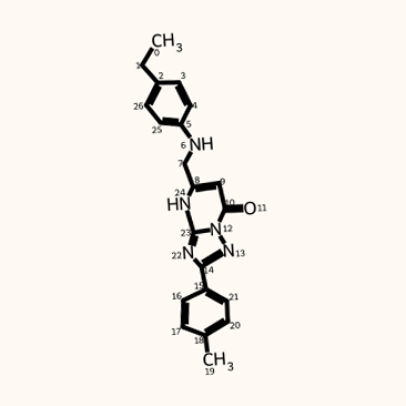 CCc1ccc(NCc2cc(=O)n3nc(-c4ccc(C)cc4)nc3[nH]2)cc1